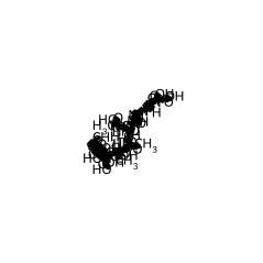 CNC(CCC(=O)NC(CCC(=O)NC(CCC(C)=O)C(=O)NC1C[C@H](O[C@H]2C[C@](O)(C(=O)CO)Cc3c(O)c4c(c(O)c32)C(=O)c2c(OC)cccc2C4=O)OC(C)[C@@H]1O)C(=O)Nc1nc2ncc(CNc3ccc(C(=O)NC(CCC(=O)O)C(=O)O)cc3)nc2c(=O)[nH]1)C(=O)O